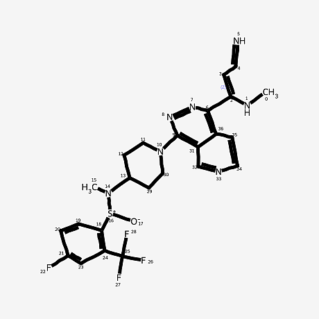 CN/C(=C\C=N)c1nnc(N2CCC(N(C)[S+]([O-])c3ccc(F)cc3C(F)(F)F)CC2)c2cnccc12